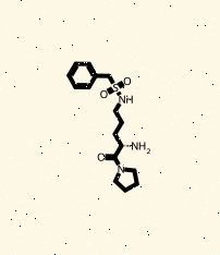 N[C@@H](CCCNS(=O)(=O)Cc1ccccc1)C(=O)N1CCCC1